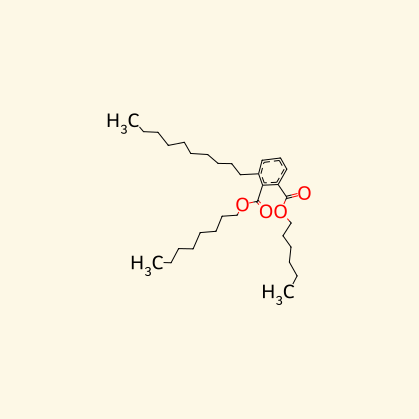 CCCCCCCCCCc1cccc(C(=O)OCCCCCC)c1C(=O)OCCCCCCCC